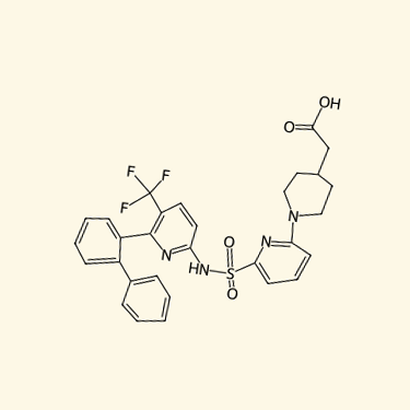 O=C(O)CC1CCN(c2cccc(S(=O)(=O)Nc3ccc(C(F)(F)F)c(-c4ccccc4-c4ccccc4)n3)n2)CC1